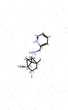 C[C@H]1CC2(C)[C@@H](NCc3ccccn3)C[C@@H]1C2(C)C